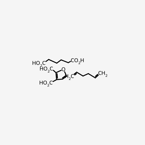 C=CCCC=C.O=C(O)CCCCC(=O)O.O=C(O)c1ccoc1C(=O)O